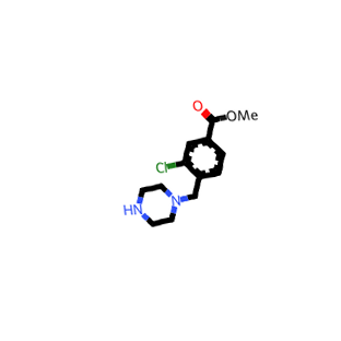 COC(=O)c1ccc(CN2CCNCC2)c(Cl)c1